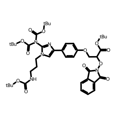 CC(C)(C)OC(=O)NCCCn1cc(-c2ccc(OCC(ON3C(=O)c4ccccc4C3=O)C(=O)OC(C)(C)C)cc2)nc1N(C(=O)OC(C)(C)C)C(=O)OC(C)(C)C